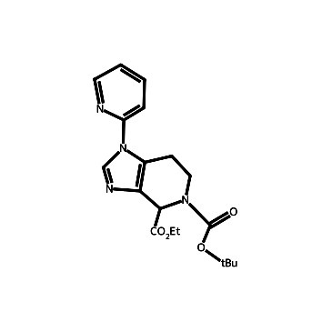 CCOC(=O)C1c2ncn(-c3ccccn3)c2CCN1C(=O)OC(C)(C)C